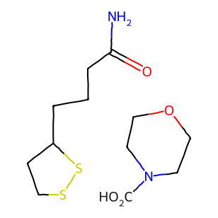 NC(=O)CCCC1CCSS1.O=C(O)N1CCOCC1